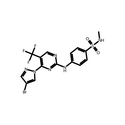 CNS(=O)(=O)c1ccc(Nc2ncc(C(F)(F)F)c(-n3cc(Br)cn3)n2)cc1